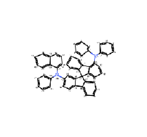 c1ccc(N(c2ccccc2)c2cccc3c2-c2ccccc2C32c3ccccc3-c3ccc(N(c4ccccc4)c4cccc5ccccc45)cc32)cc1